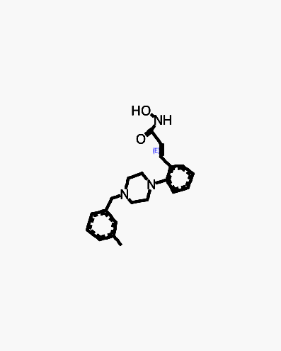 Cc1cccc(CN2CCN(c3ccccc3/C=C/C(=O)NO)CC2)c1